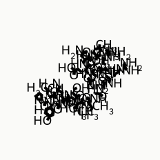 CC(C)C[C@H](NC(=O)[C@H](CC(N)=O)NC(=O)[C@H](CCC(=O)O)NC(=O)[C@H](CC(N)=O)NC(=O)[C@H](CCCNC(=N)N)NC(=O)[C@H](CCCNC(=N)N)NC(=O)CNC(=O)CNC(=O)[C@@H](NC(=O)[C@@H](NC(=O)[C@H](CO)NC(=O)[C@H](CCCCN)NC(=O)[C@H](Cc1ccc(O)cc1)NC(=O)[C@H](CC(C)C)NC(=O)[C@@H]1CCCN1)[C@@H](C)O)C(C)C)C(=O)O